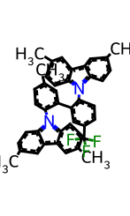 Cc1ccc(-n2c3ccc(C)cc3c3cc(C)ccc32)c(-c2cc(C(F)(F)F)ccc2-n2c3ccc(C)cc3c3cc(C)ccc32)c1